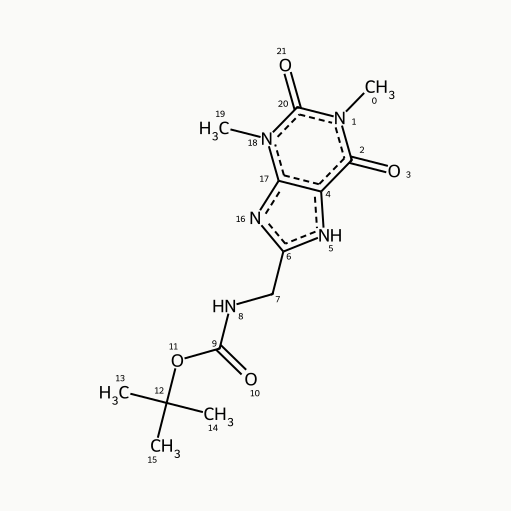 Cn1c(=O)c2[nH]c(CNC(=O)OC(C)(C)C)nc2n(C)c1=O